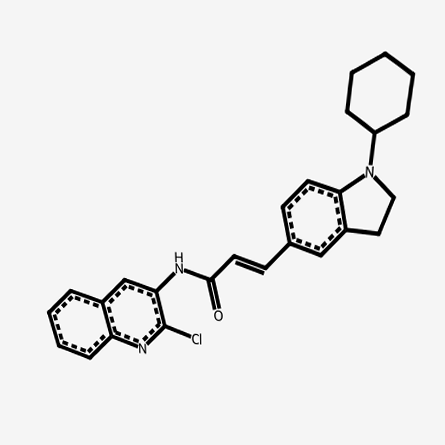 O=C(C=Cc1ccc2c(c1)CCN2C1CCCCC1)Nc1cc2ccccc2nc1Cl